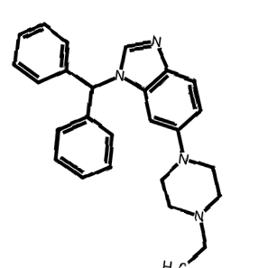 CCN1CCN(c2ccc3ncn(C(c4ccccc4)c4ccccc4)c3c2)CC1